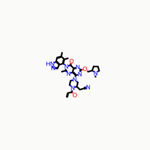 C=CC(=O)N1CCN(c2nc(OCC3CCCN3C)nc3c(=O)n(-c4c(C)c(C)cc5[nH]ncc45)c(C)nc23)CC1CC#N